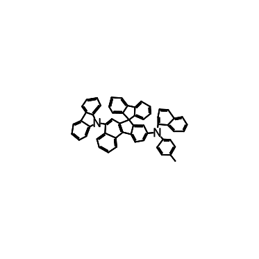 Cc1ccc(N(c2ccc3c(c2)C2(c4ccccc4-c4ccccc42)c2cc(-n4c5ccccc5c5ccccc54)c4ccccc4c2-3)c2cccc3ccccc23)cc1